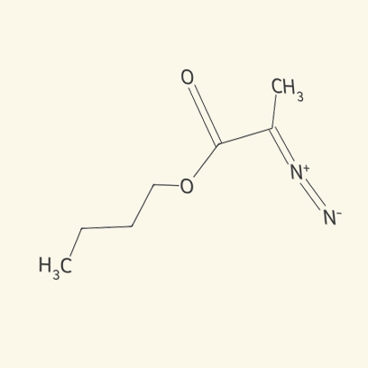 CCCCOC(=O)C(C)=[N+]=[N-]